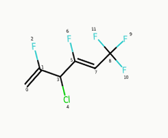 C=C(F)C(Cl)C(F)=CC(F)(F)F